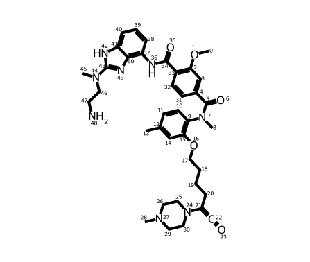 COc1cc(C(=O)N(C)c2ccc(C)cc2OCCCCC(=C=O)N2CCN(C)CC2)ccc1C(=O)Nc1cccc2[nH]c(N(C)CCN)nc12